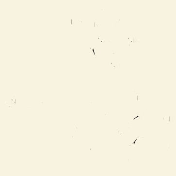 CB(O)N(C[C@@H]1CC(SC2=C(C(=O)OC(=O)c3ccc([N+](=O)[O-])cc3)N3C(=O)[C@H]([C@@H](C)O)[C@H]3[C@H]2C)CN1)S(N)(=O)=O